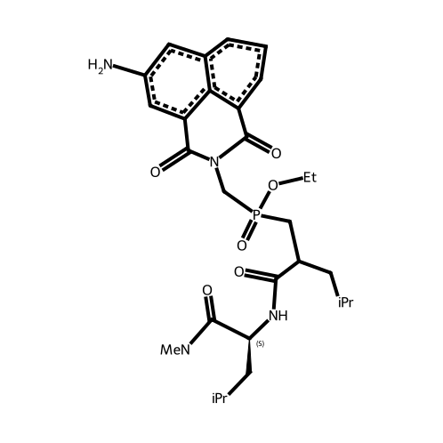 CCOP(=O)(CC(CC(C)C)C(=O)N[C@@H](CC(C)C)C(=O)NC)CN1C(=O)c2cccc3cc(N)cc(c23)C1=O